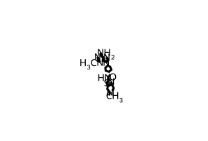 Cc1nc(N)c2ncn([C@H]3CC[C@@H](C(=O)Nc4nc5c(s4)CN(C)CC5)CC3)c2n1